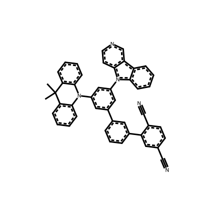 CC1(C)c2ccccc2N(c2cc(-c3cccc(-c4cc(C#N)ccc4C#N)c3)cc(-n3c4ccccc4c4cnccc43)c2)c2ccccc21